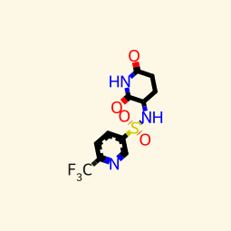 O=C1CCC(NS(=O)(=O)c2ccc(C(F)(F)F)nc2)C(=O)N1